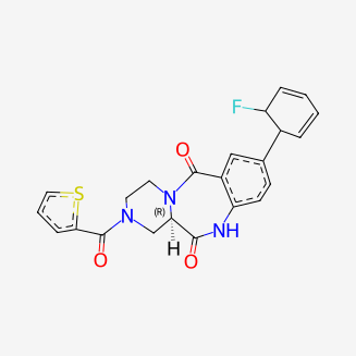 O=C1Nc2ccc(C3C=CC=CC3F)cc2C(=O)N2CCN(C(=O)c3cccs3)C[C@H]12